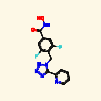 O=C(NO)c1cc(F)c(Cn2nnnc2-c2ccccn2)c(F)c1